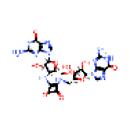 Nc1nc2c(ncn2[C@@H]2O[C@H](CNc3c(N[C@H]4[C@@H](O)[C@H](n5cnc6c(=O)[nH]c(N)nc65)O[C@@H]4CO)c(=O)c3=O)[C@H](O)[C@H]2O)c(=O)[nH]1